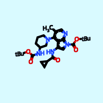 Cc1cnc2c(c(NC(=O)C3CC3)cn2C(=O)OC(C)(C)C)c1N1CCCC(NC(=O)OC(C)(C)C)C1